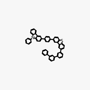 c1ccc(-c2cccc(-c3cccc(-c4ccc5sc6ccc(-c7ccc(-c8ccc9c(c8)c8ccccc8n9-c8ccccc8)cc7)cc6c5c4)c3)c2)cc1